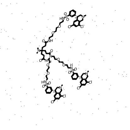 CN1Cc2c(Cl)cc(Cl)cc2[C@H](c2cccc(S(=O)(=O)NCCOCCOCCNC(=O)CCC(CCC(N)=O)(CCC(=O)N(CCOCCOCCNS(=O)(=O)c3cccc([C@@H]4CN(C)Cc5c(Cl)cc(Cl)cc54)c3)CCOCCOCCNS(=O)(=O)c3cccc([C@@H]4CN(C)Cc5c(Cl)cc(Cl)cc54)c3)N(C)C)c2)C1